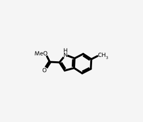 COC(=O)c1cc2ccc(C)cc2[nH]1